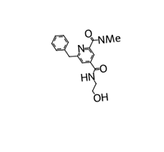 CNC(=O)c1cc(C(=O)NCCO)cc(Cc2ccccc2)n1